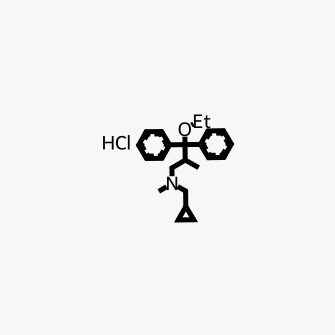 CCOC(c1ccccc1)(c1ccccc1)C(C)CN(C)CC1CC1.Cl